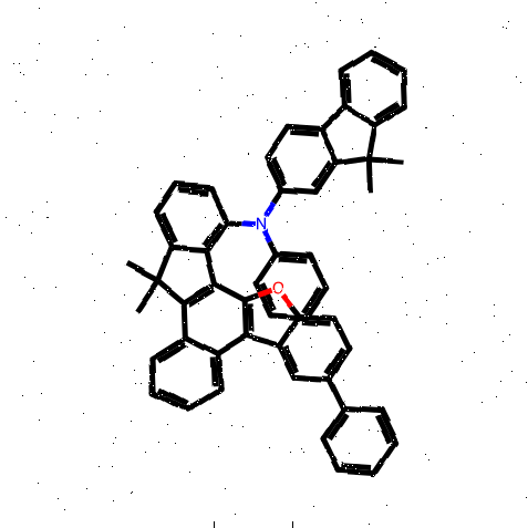 CC1(C)c2ccccc2-c2ccc(N(c3ccccc3)c3cccc4c3-c3c(c5ccccc5c5c3oc3ccc(-c6ccccc6)cc35)C4(C)C)cc21